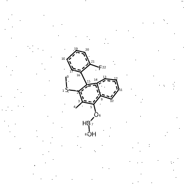 CSc1c(C)c(OBO)c2ccccc2c1-c1ccccc1F